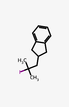 CC(C)(I)CC1Cc2ccccc2C1